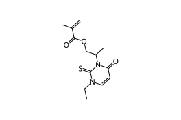 C=C(C)C(=O)OCC(C)n1c(=O)ccn(CC)c1=S